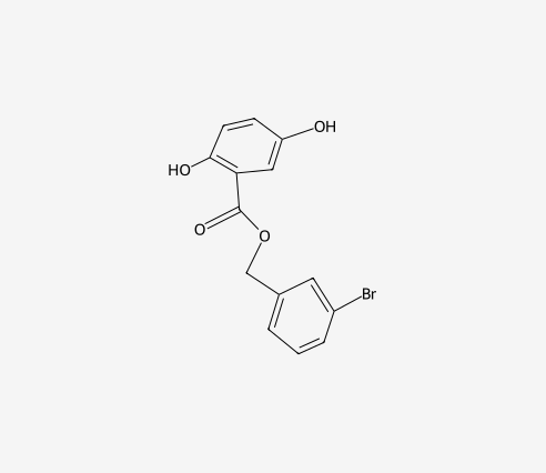 O=C(OCc1cccc(Br)c1)c1cc(O)ccc1O